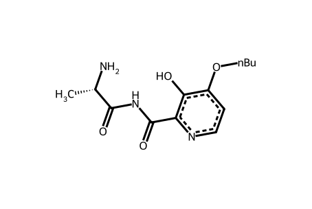 CCCCOc1ccnc(C(=O)NC(=O)[C@H](C)N)c1O